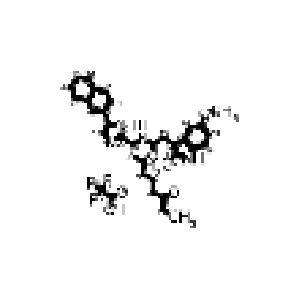 CCC(=O)CCCCC[C@@H](NC(=O)Cc1c(C)[nH]c2ccc(OC)cc12)c1ncc(-c2ccc3ccccc3c2)[nH]1.O=C(O)C(F)(F)F